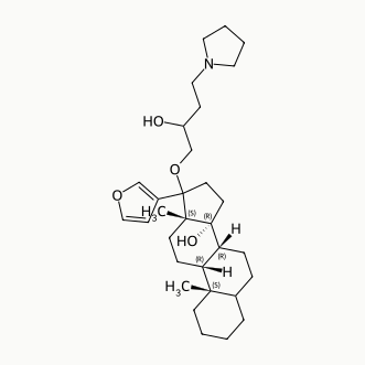 C[C@]12CCCCC1CC[C@@H]1[C@H]2CC[C@]2(C)C(OCC(O)CCN3CCCC3)(c3ccoc3)CC[C@@]12O